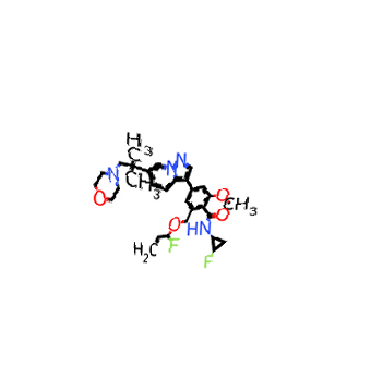 C=CC(F)OCc1cc(-c2cnn3cc(C(C)(C)CN4CCOCC4)ccc23)cc(OC)c1C(=O)N[C@@H]1C[C@@H]1F